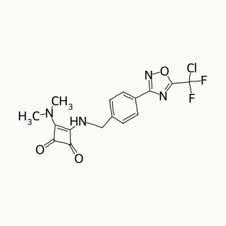 CN(C)c1c(NCc2ccc(-c3noc(C(F)(F)Cl)n3)cc2)c(=O)c1=O